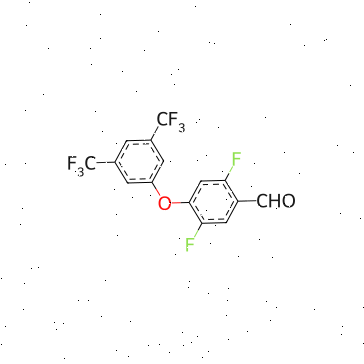 O=Cc1cc(F)c(Oc2cc(C(F)(F)F)cc(C(F)(F)F)c2)cc1F